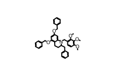 COc1ccc(CN2c3cc(OCc4ccccc4)cc(OCc4ccccc4)c3CCC2Cc2ccccc2)c(OC)c1OC